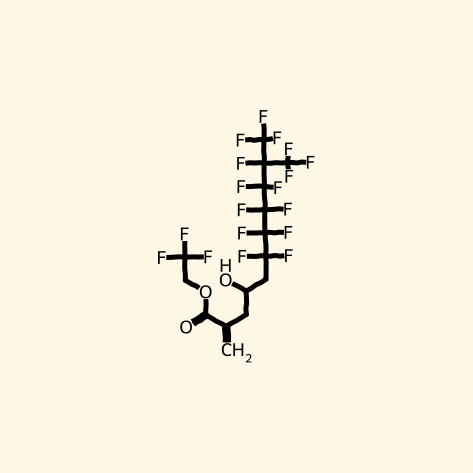 C=C(CC(O)CC(F)(F)C(F)(F)C(F)(F)C(F)(F)C(F)(C(F)(F)F)C(F)(F)F)C(=O)OCC(F)(F)F